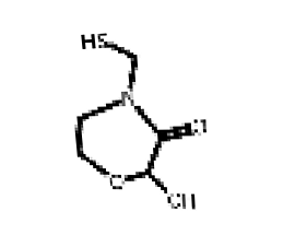 O=C1C(O)OCCN1CS